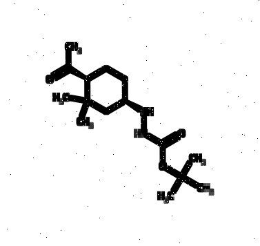 CC(=O)[C@H]1CC[C@@H](NNC(=O)OC(C)(C)C)CC1(C)C